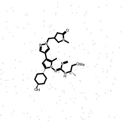 C=N/C(=N\n1c(C)c(-c2cnn(CC3CC(=O)N(C)C3)c2)cc1[C@H]1CC[C@H](O)CC1)N[C@@H](C)COC